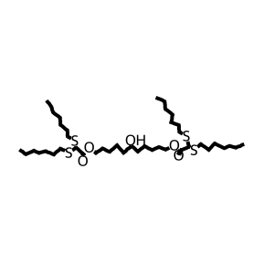 CCCCCCCSC(SCCCCCCC)C(=O)OCCCCCC(O)CCCCCOC(=O)C(SCCCCCCC)SCCCCCCC